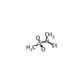 CCN(C)S(C)(=O)=O